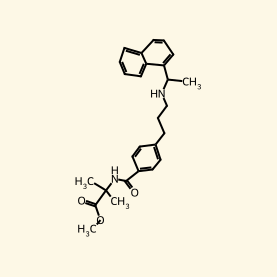 COC(=O)C(C)(C)NC(=O)c1ccc(CCCNC(C)c2cccc3ccccc23)cc1